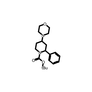 CC(C)(C)OC(=O)N1CCC(N2CCOCC2)CC1c1ccccc1